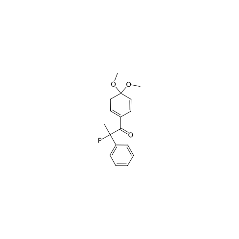 COC1(OC)C=CC(C(=O)C(C)(F)c2ccccc2)=CC1